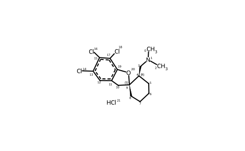 CN(C)C[C@H]1CCCC[C@]12Cc1cc(Cl)c(Cl)c(Cl)c1O2.Cl